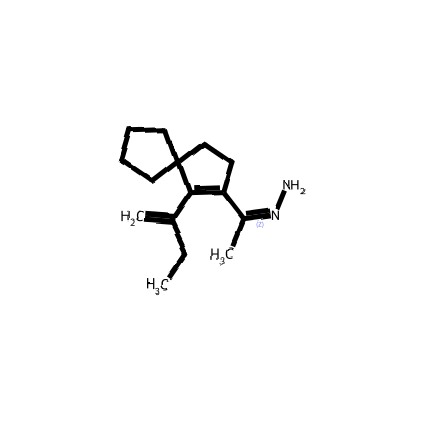 C=C(CC)C1=C(/C(C)=N\N)CCC12CCCC2